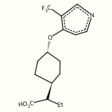 CCC(C(=O)O)[C@H]1CC[C@H](Oc2ccncc2C(F)(F)F)CC1